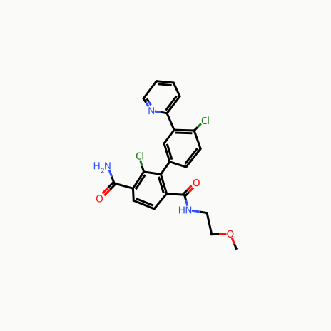 COCCNC(=O)c1ccc(C(N)=O)c(Cl)c1-c1ccc(Cl)c(-c2ccccn2)c1